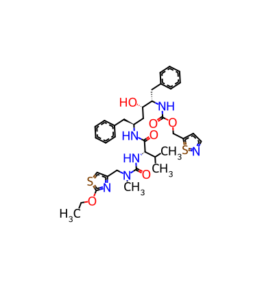 CCOc1nc(CN(C)C(=O)N[C@H](C(=O)N[C@@H](Cc2ccccc2)C[C@H](O)[C@H](Cc2ccccc2)NC(=O)OCc2ccns2)C(C)C)cs1